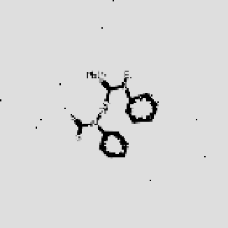 CCN(C(=S)[S-])c1ccccc1.CCN(C(=S)[S-])c1ccccc1.[Pb+2]